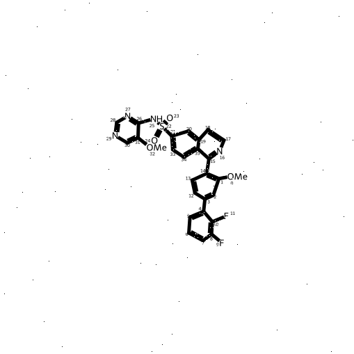 COc1cc(-c2cccc(F)c2F)ccc1-c1nccc2cc(S(=O)(=O)Nc3ncncc3OC)ccc12